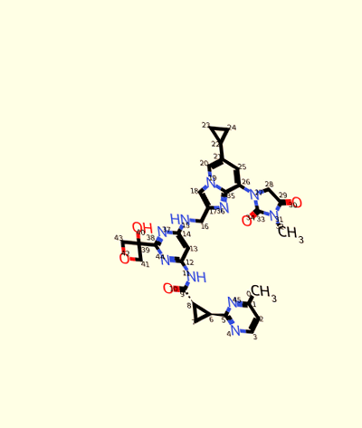 Cc1ccnc([C@H]2C[C@@H]2C(=O)Nc2cc(NCc3cn4cc(C5CC5)cc(N5CC(=O)N(C)C5=O)c4n3)nc(C3(O)COC3)n2)n1